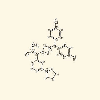 C[S+]([O-])C(c1cccc(N2CCCC2)c1)C1CN(C(c2ccc(Cl)cc2)c2ccc(Cl)cc2)C1